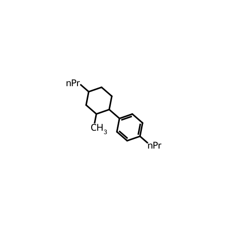 CCCc1ccc(C2CCC(CCC)CC2C)cc1